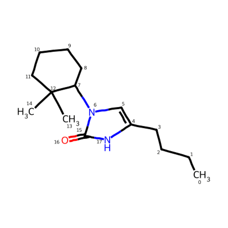 CCCCc1cn(C2CCCCC2(C)C)c(=O)[nH]1